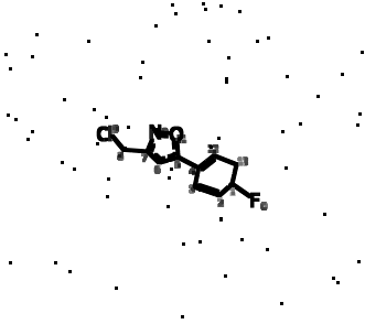 FC1C=CC(c2cc(CCl)no2)=CC1